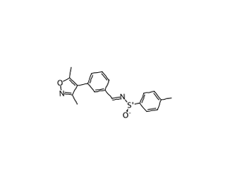 Cc1ccc([S@@+]([O-])/N=C/c2cccc(-c3c(C)noc3C)c2)cc1